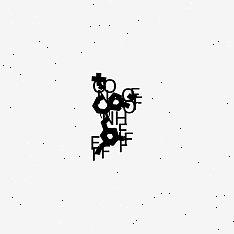 CC(C)(C)OC(=O)N1CCC[C@H](NCc2cc(C(F)(F)F)cc(C(F)(F)F)c2)c2cc3c(cc21)OC(F)(F)O3